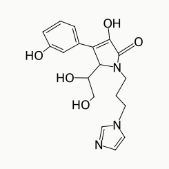 O=C1C(O)=C(c2cccc(O)c2)C(C(O)CO)N1CCCn1ccnc1